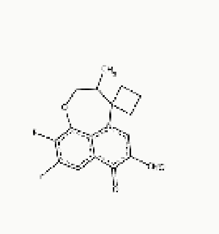 CC1COc2c(F)c(F)cc3c(=O)c(C=O)cn(c23)C12CCC2